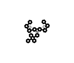 c1ccc(-c2c3ccccc3c(-c3cccc(-n4c5cc(-c6cccc7c6oc6c(-c8ccccc8)cccc67)ccc5c5ccc(-c6cccc7c6oc6c(-c8ccccc8)cccc67)cc54)c3)c3ccccc23)cc1